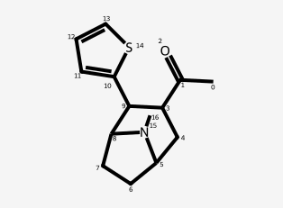 CC(=O)C1CC2CCC(C1c1cccs1)N2C